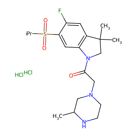 CC1CN(CC(=O)N2CC(C)(C)c3cc(F)c(S(=O)(=O)C(C)C)cc32)CCN1.Cl.Cl